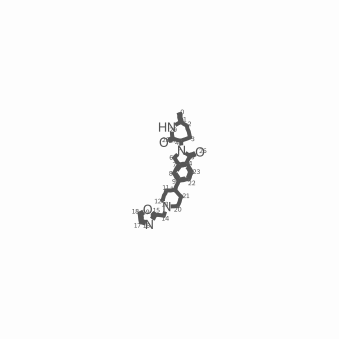 C=C1CCC(N2Cc3cc(C4CCN(Cc5ncco5)CC4)ccc3C2=O)C(=O)N1